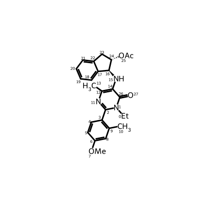 CCn1c(-c2ccc(OC)cc2C)nc(C)c(N[C@H]2c3ccccc3C[C@@H]2OC(C)=O)c1=O